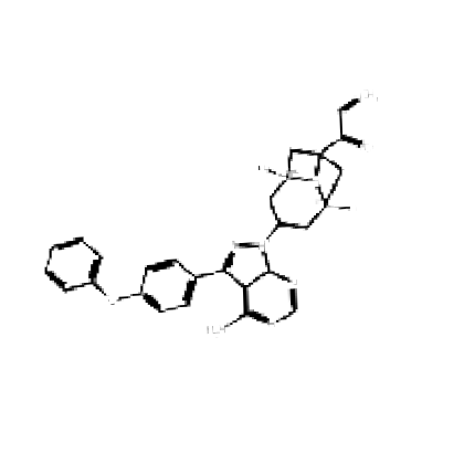 C=CC(=O)C12C[C@H]3CC(N4N=C(c5ccc(Oc6ccccc6)cc5)C5C(N)=NC=NC54)C[C@@H](C1)N32